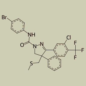 CSCC1(c2ccccc2)CN(C(=O)Nc2ccc(Br)cc2)N=C1c1ccc(C(F)(F)F)c(Cl)c1